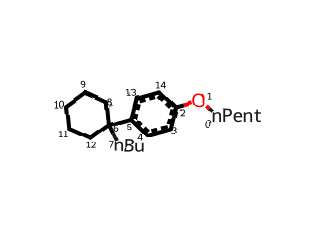 CCCCCOc1ccc(C2(CCCC)CCCCC2)cc1